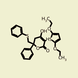 CCOC1=CC=C(OCC)[SH]1C1=C(O)CC(CSc2ccccc2)(c2ccccc2)OC1=O